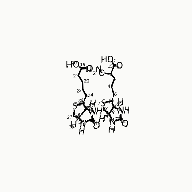 NOC(CCC[C@@H]1SC[C@@H]2NC(=O)N[C@@H]21)C(=O)O.O=C(O)CCCC[C@@H]1SC[C@@H]2NC(=O)N[C@@H]21